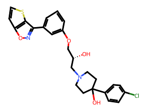 O[C@@H](COc1cccc(-c2noc3ccsc23)c1)CN1CCC(O)(c2ccc(Cl)cc2)CC1